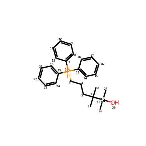 CC(C)(CCC[PH](c1ccccc1)(c1ccccc1)c1ccccc1)[Si](C)(C)O